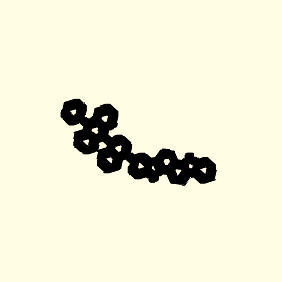 c1ccc(-c2c3ccccc3c(-c3ccc(-c4ccc5oc6c(ccc7c6ccc6c8ccccc8oc67)c5c4)c4ccccc34)c3ccccc23)cc1